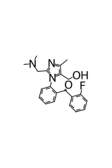 Cc1nc(CN(C)C)n(-c2ccccc2C(=O)c2ccccc2F)c1CO